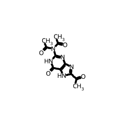 CC(=O)c1nc2nc(N(C(C)=O)C(C)=O)[nH]c(=O)c2[nH]1